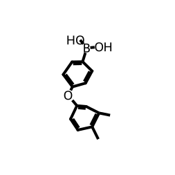 Cc1ccc(Oc2ccc(B(O)O)cc2)cc1C